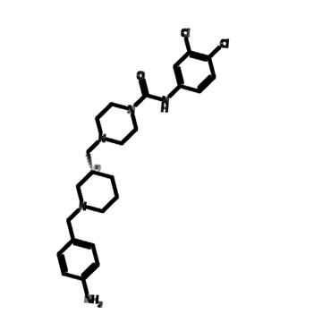 Nc1ccc(CN2CCC[C@@H](CN3CCN(C(=O)Nc4ccc(Cl)c(Cl)c4)CC3)C2)cc1